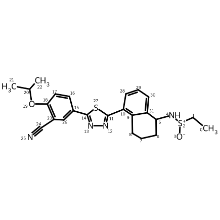 CC[S+]([O-])NC1CCCc2c(-c3nnc(-c4ccc(OC(C)C)c(C#N)c4)s3)cccc21